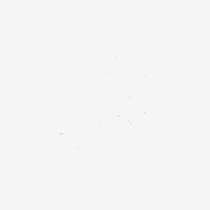 c1ccc(-c2ccc(-c3ccccc3)n2-c2ccc3c(-c4ccc5c(c4)C4(c6ccccc6-c6ccccc64)c4ccccc4-5)c4ccccc4c(-c4ccc5c(c4)C4(c6ccccc6-c6ccccc64)c4ccccc4-5)c3c2)cc1